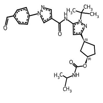 CC(C)NC(=O)O[C@@H]1CC[C@H](c2cc(NC(=O)c3cnn(-c4ccc(C=O)cc4)c3)n(C(C)(C)C)n2)C1